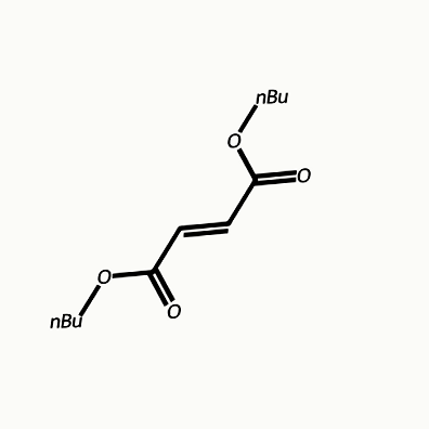 CCCCOC(=O)C=CC(=O)OCCCC